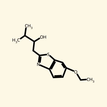 CCOc1ccc2nc(CC(O)C(C)C)sc2c1